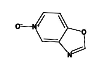 [O-][n+]1ccc2ocnc2c1